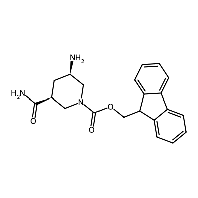 NC(=O)[C@H]1C[C@@H](N)CN(C(=O)OCC2c3ccccc3-c3ccccc32)C1